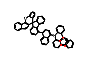 c1ccc(-c2ccccc2N(c2ccc(-c3cccc4c3-c3ccccc3C43c4ccccc4Oc4c3ccc3ccccc43)c3ccccc23)c2cccc3c2oc2ccccc23)cc1